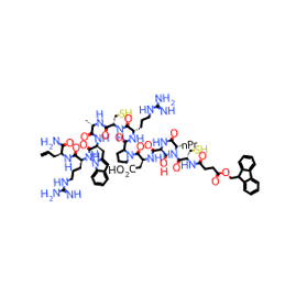 C=CC[C@H](NC(=O)[C@H](CCCNC(=N)N)NC(=O)[C@H](Cc1cc2ccccc2[nH]1)NC(=O)[C@H](C)NC(=O)[C@H](CS)NC(=O)[C@H](CCCNC(=N)N)NC(=O)C1CCCN1C(=O)[C@H](CC(=O)O)NC(=O)[C@H](CO)NC(=O)[C@H](CCC)NC(=O)[C@H](CS)NC(=O)CCC(=O)OCC1c2ccccc2-c2ccccc21)C(N)=O